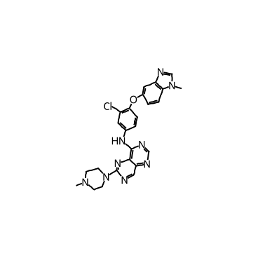 CN1CCN(c2ncc3ncnc(Nc4ccc(Oc5ccc6c(c5)ncn6C)c(Cl)c4)c3n2)CC1